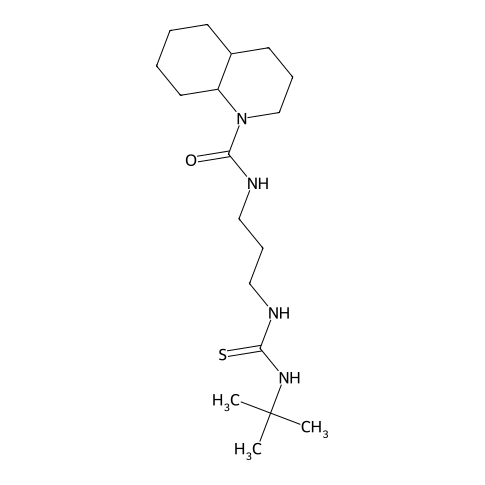 CC(C)(C)NC(=S)NCCCNC(=O)N1CCCC2CCCCC21